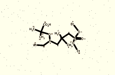 CCOP(=O)(CC(C)(C)CN(CC(C)C)OC(C)(C)C(=O)O)OCC